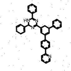 C1=CC(C2N=C(C3=CC(c4ccc(-c5ccccn5)cc4)=CC(c4ccccc4)C3)N=C(c3ccccc3)N2)=CCC1